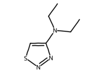 CCN(CC)c1csnn1